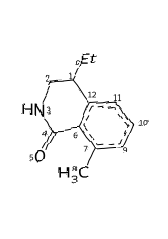 CCC1CNC(=O)c2c(C)cccc21